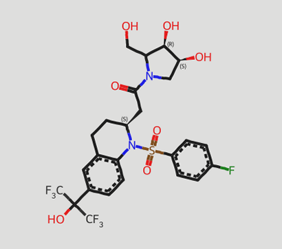 O=C(C[C@@H]1CCc2cc(C(O)(C(F)(F)F)C(F)(F)F)ccc2N1S(=O)(=O)c1ccc(F)cc1)N1C[C@H](O)[C@H](O)C1CO